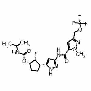 CC(C)NC(=O)O[C@H]1CC[C@@H](c2cc(NC(=O)c3cc(COC(F)(F)F)nn3C)n[nH]2)[C@H]1F